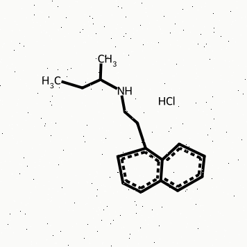 CCC(C)NCCc1cccc2ccccc12.Cl